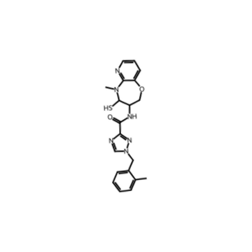 Cc1ccccc1Cn1cnc(C(=O)NC2COc3cccnc3N(C)C2S)n1